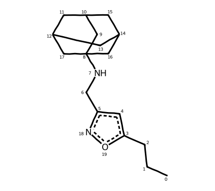 CCCc1cc(CNC23CC4CC(CC(C4)C2)C3)no1